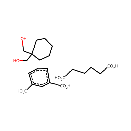 O=C(O)CCCCC(=O)O.O=C(O)c1cccc(C(=O)O)c1.OCC1(CO)CCCCC1